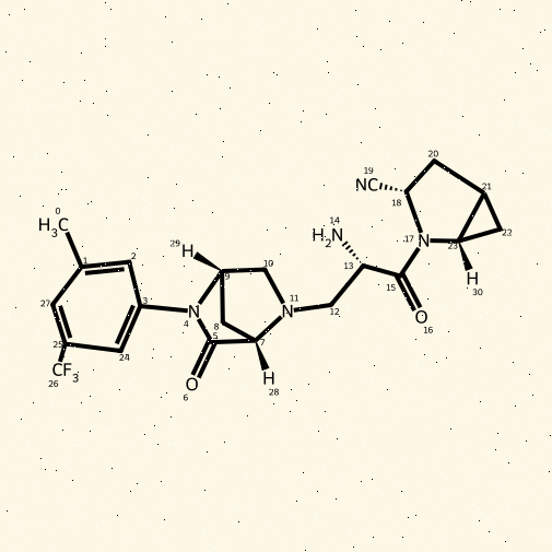 Cc1cc(N2C(=O)[C@@H]3C[C@H]2CN3C[C@H](N)C(=O)N2[C@H](C#N)CC3C[C@@H]32)cc(C(F)(F)F)c1